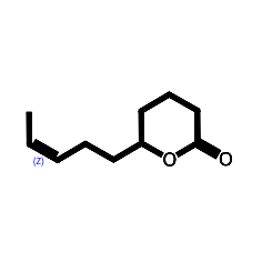 C/C=C\CCC1CCCC(=O)O1